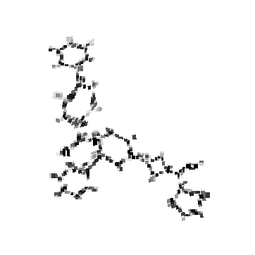 O=C(c1nccs1)N1CC(N2CCN(C(=O)c3ccc(-c4ccccc4)cc3)C(c3ccccc3)C2)C1